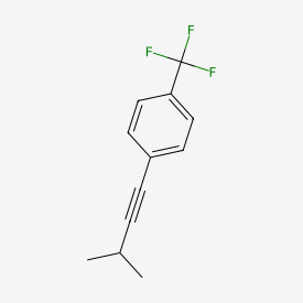 CC(C)C#Cc1ccc(C(F)(F)F)cc1